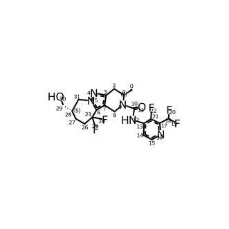 C[C@@H]1Cc2nn3c(c2CN1C(=O)Nc1ccnc(C(F)F)c1F)C(F)(F)CC[C@H](CO)C3